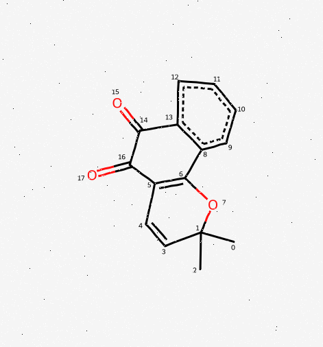 CC1(C)C=CC2=C(O1)c1ccccc1C(=O)C2=O